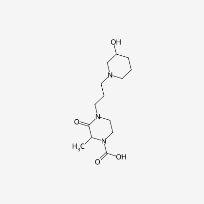 CC1C(=O)N(CCCN2CCCC(O)C2)CCN1C(=O)O